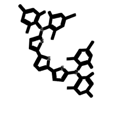 CC1=CC(C)CC(C)=C1B(c1ccc(-c2ccc(-c3ccc(B(c4c(C)cc(C)cc4C)c4c(C)cc(C)cc4C)s3)s2)s1)c1c(C)cc(C)cc1C